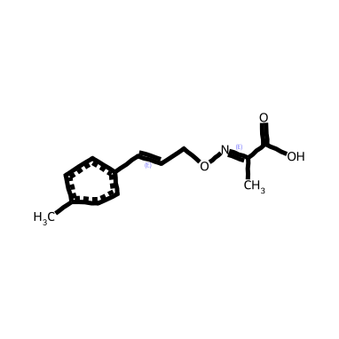 C/C(=N\OC/C=C/c1ccc(C)cc1)C(=O)O